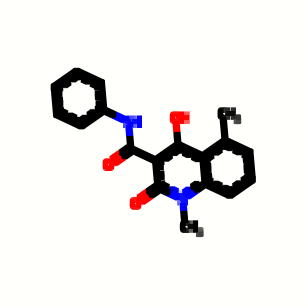 Cc1cccc2c1c(O)c(C(=O)Nc1ccccc1)c(=O)n2C